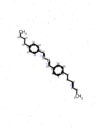 CC/C=C/CCc1ccc(/C=N/N=C/c2ccc(CCCC)cc2)cc1